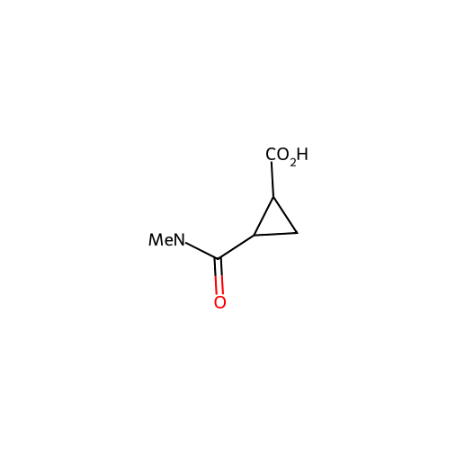 CNC(=O)C1CC1C(=O)O